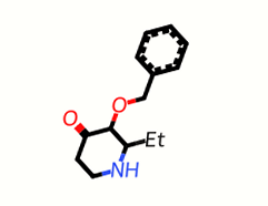 CCC1NCCC(=O)C1OCc1ccccc1